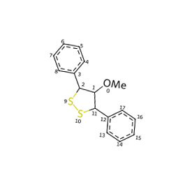 COC1C(c2ccccc2)SSC1c1ccccc1